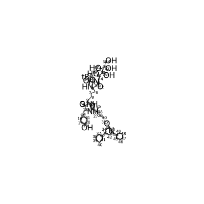 CC(C)(C)OC(=O)NC(CCCCNC(=O)C(Cc1ccc(O)cc1)NC(=O)C(C)(C)CCCCOc1cc(-c2ccccc2)cc(-c2ccccc2)n1)C(=O)NCC(O)C(O)C(O)C(O)CO